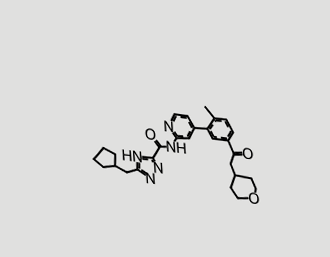 Cc1ccc(C(=O)CC2CCOCC2)cc1-c1ccnc(NC(=O)c2nnc(CC3CCCC3)[nH]2)c1